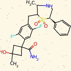 C[C@@H]1NC[C@@H](c2ccccc2)S(=O)(=O)C1Cc1cc(F)c(C2(C(N)=O)CC(C)(O)C2)cc1F